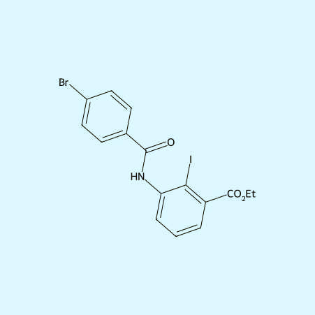 CCOC(=O)c1cccc(NC(=O)c2ccc(Br)cc2)c1I